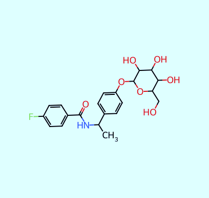 CC(NC(=O)c1ccc(F)cc1)c1ccc(OC2OC(CO)C(O)C(O)C2O)cc1